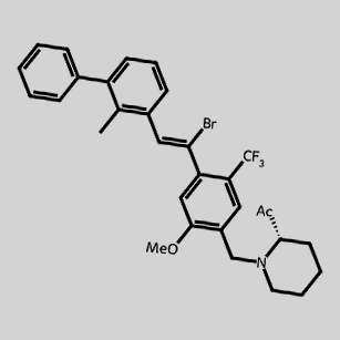 COc1cc(/C(Br)=C/c2cccc(-c3ccccc3)c2C)c(C(F)(F)F)cc1CN1CCCC[C@H]1C(C)=O